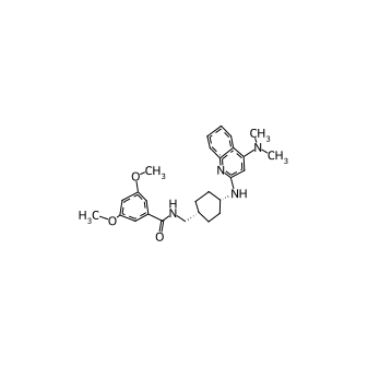 COc1cc(OC)cc(C(=O)NC[C@H]2CC[C@@H](Nc3cc(N(C)C)c4ccccc4n3)CC2)c1